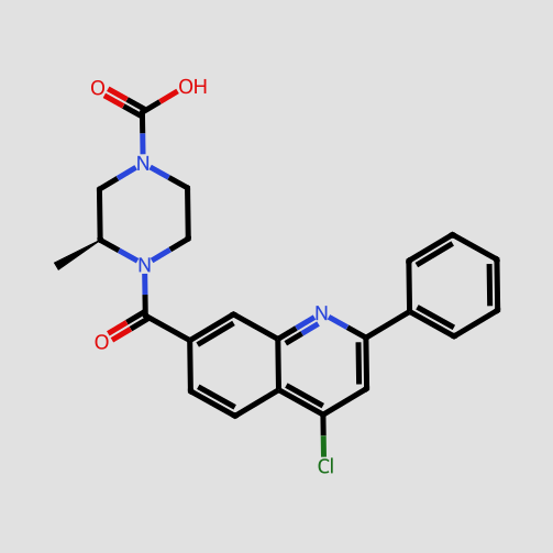 C[C@H]1CN(C(=O)O)CCN1C(=O)c1ccc2c(Cl)cc(-c3ccccc3)nc2c1